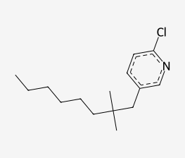 CCCCCCC(C)(C)Cc1ccc(Cl)nc1